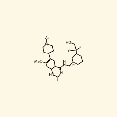 COC1=C(C2CCN(C(C)=O)CC2)CC2C(NC[C@@H]3CCCC(C(F)(F)CO)C3)=NC(C)NC2C1